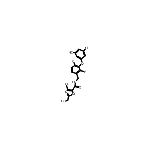 N#Cc1cc(Cl)cc(Oc2c(Br)ccc(CNC(=O)c3[nH]c(CO)nc3Cl)c2F)c1